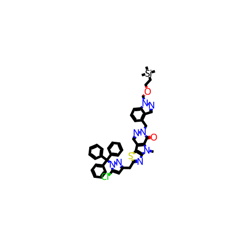 Cn1c2nc(Cc3cc(Cl)n(C(c4ccccc4)(c4ccccc4)c4ccccc4)n3)sc2c2cnn(Cc3cccc4c3cnn4COCC[Si](C)(C)C)c(=O)c21